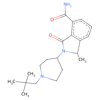 CC1c2cccc(C(N)=O)c2C(=O)N1C1CCN(CC(C)(C)C)CC1